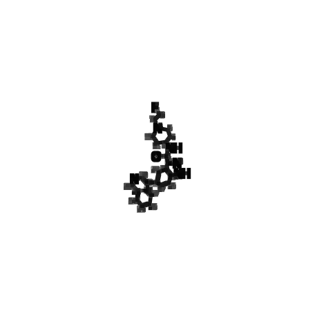 O=C(NC1CCN(CCF)CC1)c1n[nH]c2ccc(-c3cncc4ccccc34)cc12